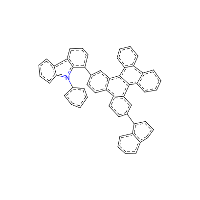 c1ccc(-n2c3ccccc3c3cccc(-c4ccc5c6ccc(-c7cccc8ccccc78)cc6c6c7ccccc7c7ccccc7c6c5c4)c32)cc1